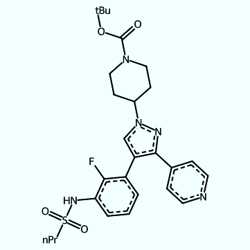 CCCS(=O)(=O)Nc1cccc(-c2cn(C3CCN(C(=O)OC(C)(C)C)CC3)nc2-c2ccncc2)c1F